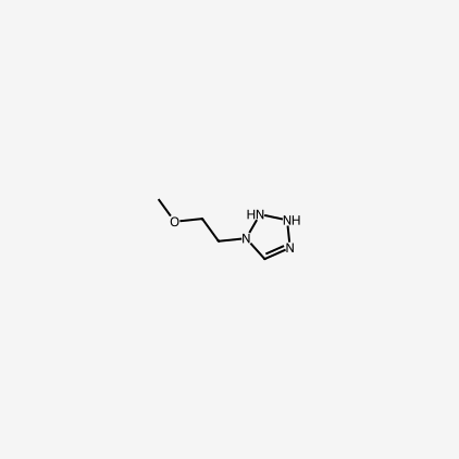 COCCN1C=NNN1